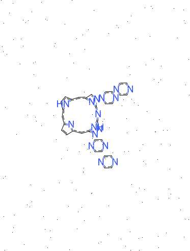 C1=Cc2cc3nnc(nc4nc(cc5ccc(cc1n2)[nH]5)C=N4)[nH]3.c1cnccn1.c1cnccn1.c1cnccn1.c1cnccn1